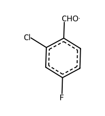 O=[C]c1ccc(F)cc1Cl